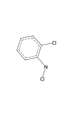 Cl[N]c1ccccc1Cl